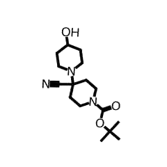 CC(C)(C)OC(=O)N1CCC(C#N)(N2CCC(O)CC2)CC1